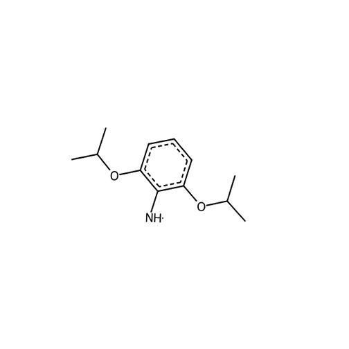 CC(C)Oc1cccc(OC(C)C)c1[NH]